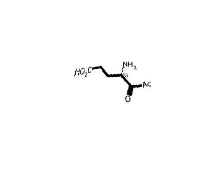 CC(=O)C(=O)[C@@H](N)CCC(=O)O